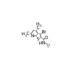 Cc1cc(C)c2c(Br)c(C(=O)NC3CC3)sc2n1